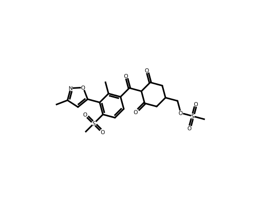 Cc1cc(-c2c(S(C)(=O)=O)ccc(C(=O)C3C(=O)CC(COS(C)(=O)=O)CC3=O)c2C)on1